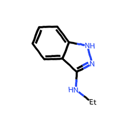 CCNc1n[nH]c2ccccc12